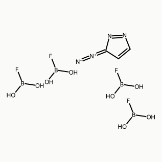 OB(O)F.OB(O)F.OB(O)F.OB(O)F.[N-]=[N+]=C1C=CN=N1